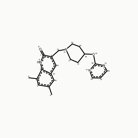 Cc1cc(C)c2[nH]c(=O)c(CN3CCC(Oc4ncccn4)CC3)cc2c1